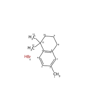 Br.Cc1ccc2c(c1)CCCC2(C)C